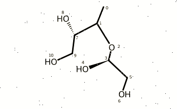 CC(O[C@H](O)CO)[C@@H](O)CO